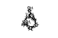 Cc1ccc2c(c1)C(=O)N1CCCCC1c1cc3nc(N4CC(O)C4)cc(n3n1)N(C)CCNC(C(F)(F)F)CO2